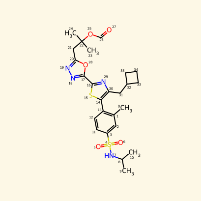 Cc1cc(S(=O)(=O)NC(C)C)ccc1-c1sc(-c2nnc(CC(C)(C)OC=O)o2)nc1CC1CCC1